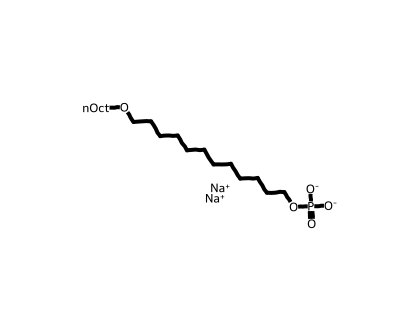 CCCCCCCCOCCCCCCCCCCCCOP(=O)([O-])[O-].[Na+].[Na+]